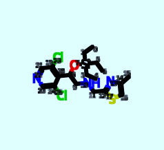 CC[Si](CC)(CC)OC(CNCc1nc(C)cs1)c1c(Cl)cncc1Cl